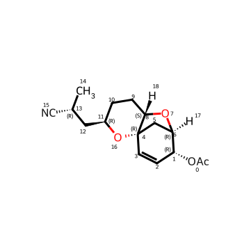 CC(=O)O[C@@H]1C=C[C@]23C[C@H]1O[C@H]2CC[C@H](C[C@@H](C)C#N)O3